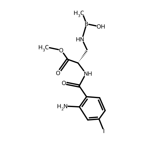 COC(=O)[C@H](CNB(C)O)NC(=O)c1ccc(I)cc1N